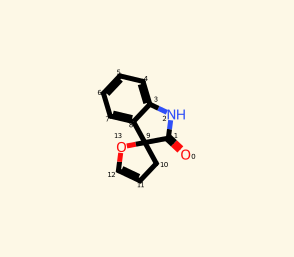 O=C1Nc2ccccc2C12CC=CO2